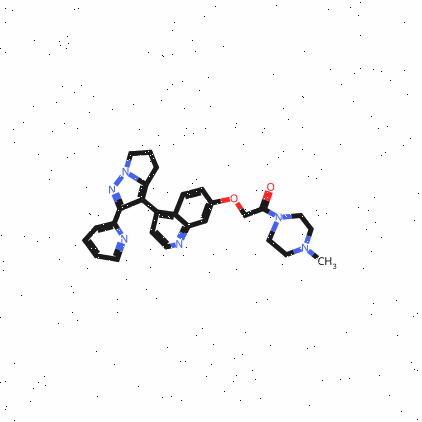 CN1CCN(C(=O)COc2ccc3c(-c4c(-c5ccccn5)nn5c4CCC5)ccnc3c2)CC1